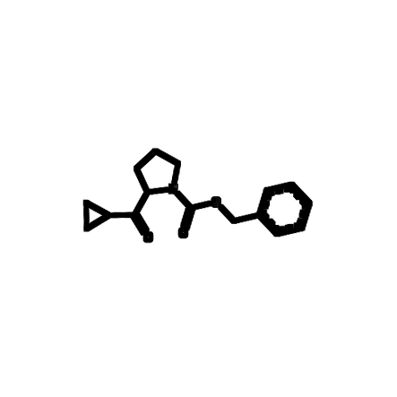 O=C(C1CC1)C1CCCN1C(=O)OCc1ccccc1